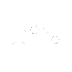 O=C1CCC(N2Cc3cc(C(=O)NC(c4ccc(O)cc4)C(F)(F)F)ccc3C2=O)C(=O)N1